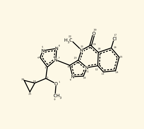 COC(c1cnnn1-c1ncn2c3cccc(Cl)c3c(=O)n(C)c12)C1CC1